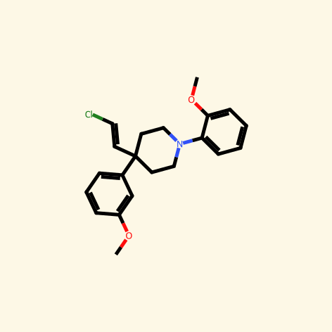 COc1cccc(C2(C=CCl)CCN(c3ccccc3OC)CC2)c1